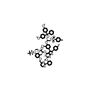 CCOC(=O)[C@@H](Cc1cc(O[Si](C)(C)C(C)(C)C)ccc1OCc1ccnc(-c2ccccc2OC)n1)Oc1ncnc2sc(-c3ccc(F)cc3)c(-c3ccc(O[C@H](COC(c4ccccc4)(c4ccc(OC)cc4)c4ccc(OC)cc4)COS(=O)(=O)c4ccc(C)cc4)c(Cl)c3)c12